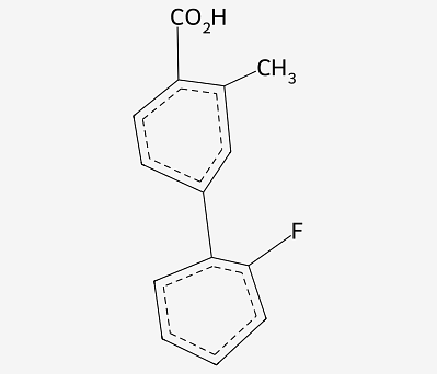 Cc1cc(-c2ccccc2F)ccc1C(=O)O